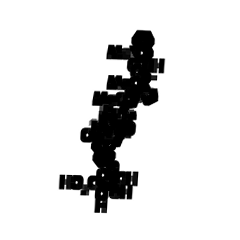 C#CCOc1cc(OC2O[C@H](C(=O)O)[C@@H](O)[C@H](O)[C@H]2O)ccc1COC(=O)N(C)[C@H](C(=O)N[C@H](C(=O)N(C)[C@@H](C(C)CC)[C@@H](CC(=O)N1CCC[C@H]1[C@H](OC)[C@@H](C)C(=O)NC(Cc1ccccc1)C(=O)NC)OC)C(C)C)C(C)C